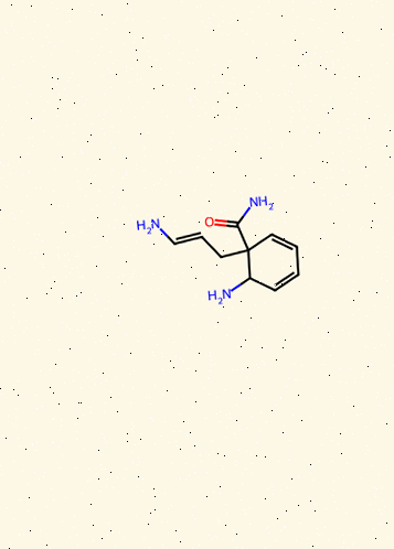 NC=CCC1(C(N)=O)C=CC=CC1N